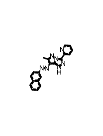 Cc1nn2c(-c3ccccn3)n[nH]c2c1N=Nc1ccc2ccccc2c1